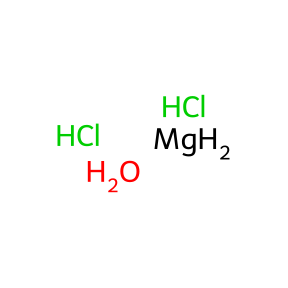 Cl.Cl.O.[MgH2]